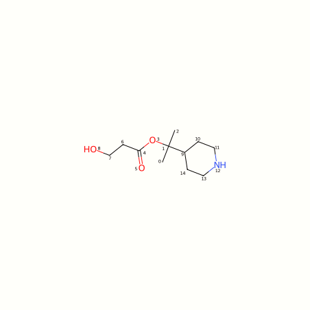 CC(C)(OC(=O)CCO)C1CCNCC1